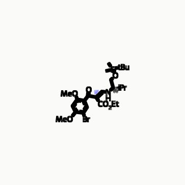 CCOC(=O)/C(=C\N[C@H](CO[Si](C)(C)C(C)(C)C)C(C)C)C(=O)c1cc(Br)c(OC)cc1OC